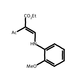 CCOC(=O)/C(=C/Nc1ccccc1OC)C(C)=O